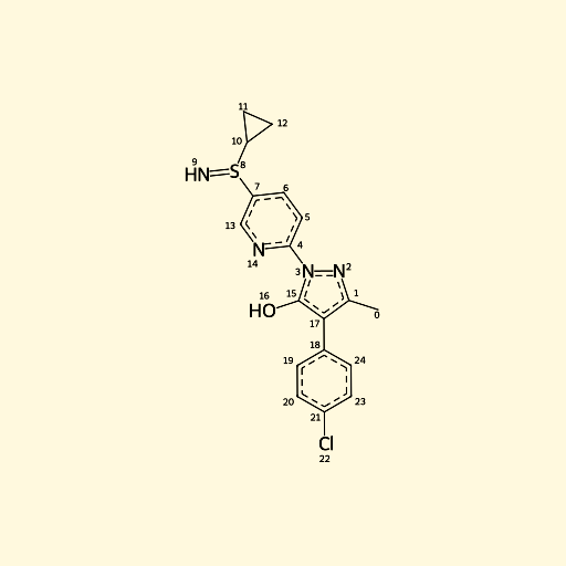 Cc1nn(-c2ccc(S(=N)C3CC3)cn2)c(O)c1-c1ccc(Cl)cc1